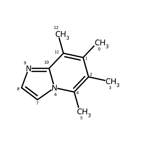 Cc1c(C)c(C)n2ccnc2c1C